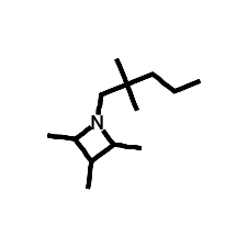 CCCC(C)(C)CN1C(C)C(C)C1C